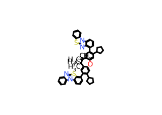 CC1(C)c2cc(-c3cccc4c3nc3sc5ccccc5n34)c(C3CCCC3)cc2Oc2cc(C3CCCC3)c(-c3cccc4c3sc3nc5ccccc5n34)cc2C1(C)C